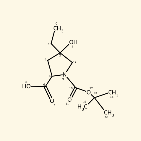 CCC1(O)CC(C(=O)O)N(C(=O)OC(C)(C)C)C1